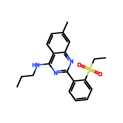 CCCNc1nc(-c2ccccc2S(=O)(=O)CC)nc2cc(C)ccc12